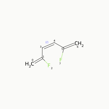 C=C(F)/C=C\C(=C)F